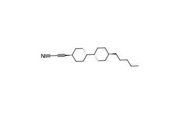 CCCCC[C@H]1CC[C@H]([C@H]2CC[C@H](C#CC#N)CC2)CC1